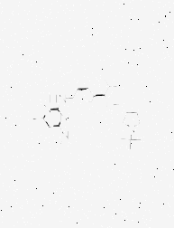 CNc1cc(C)nc(NC/C=C\C(OC)=C(\OC[C@@H]2CCN(C(C)(C)C)C2)C(C)C)n1